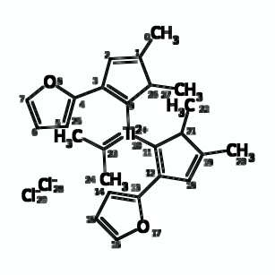 CC1=CC(c2ccco2)=[C]([Ti+2]([C]2=C(c3ccco3)C=C(C)C2C)=[C](C)C)C1C.[Cl-].[Cl-]